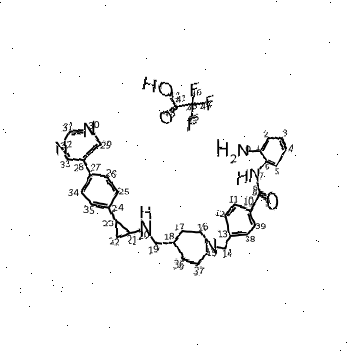 Nc1ccccc1NC(=O)c1ccc(CN2CCC(CNC3CC3c3ccc(-c4cncnc4)cc3)CC2)cc1.O=C(O)C(F)(F)F